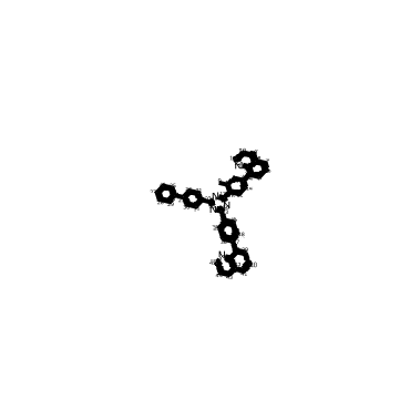 CC1CC(c2cccc3cccnc23)=CC=C1c1nc(-c2ccc(-c3ccccc3)cc2)nc(-c2ccc(C3CC=Cc4cccnc43)cc2)n1